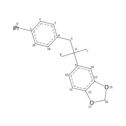 CC(C)c1ccc(CC(C)(C)c2ccc3c(c2)OCO3)cc1